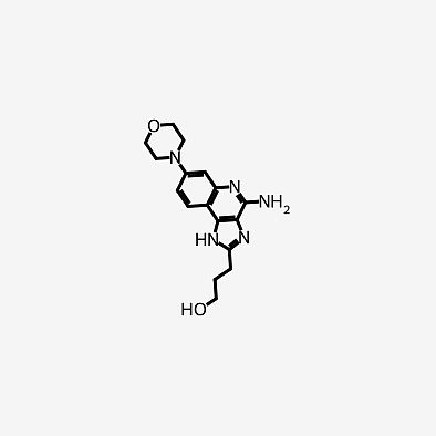 Nc1nc2cc(N3CCOCC3)ccc2c2[nH]c(CCCO)nc12